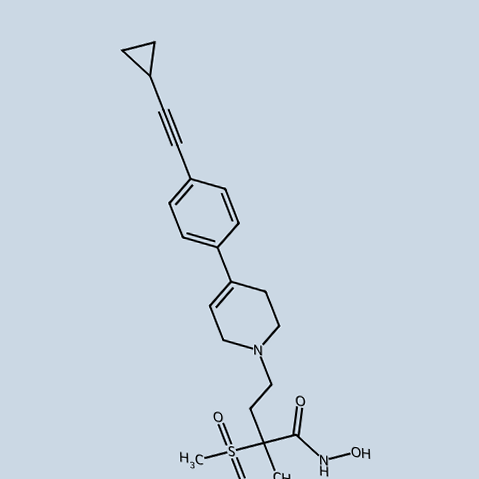 CC(CCN1CC=C(c2ccc(C#CC3CC3)cc2)CC1)(C(=O)NO)S(C)(=O)=O